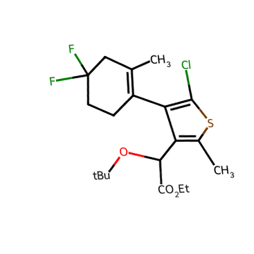 CCOC(=O)C(OC(C)(C)C)c1c(C)sc(Cl)c1C1=C(C)CC(F)(F)CC1